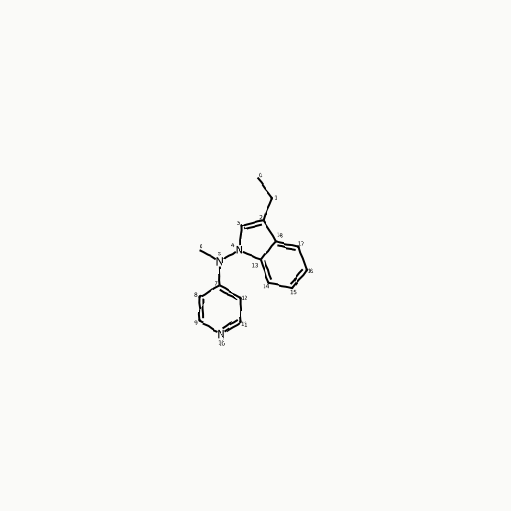 CCc1cn(N(C)c2ccncc2)c2ccccc12